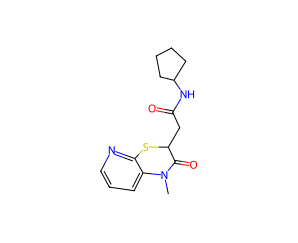 CN1C(=O)C(CC(=O)NC2CCCC2)Sc2ncccc21